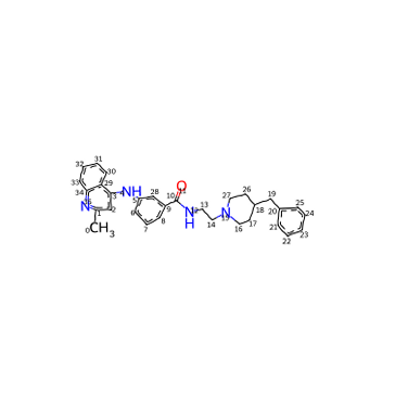 Cc1cc(Nc2cccc(C(=O)NCCN3CCC(Cc4ccccc4)CC3)c2)c2ccccc2n1